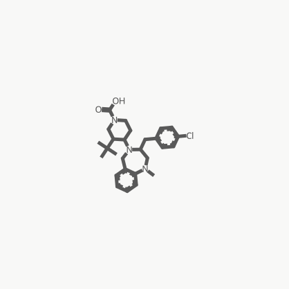 CN1CC(Cc2ccc(Cl)cc2)N(C2CCN(C(=O)O)CC2C(C)(C)C)Cc2ccccc21